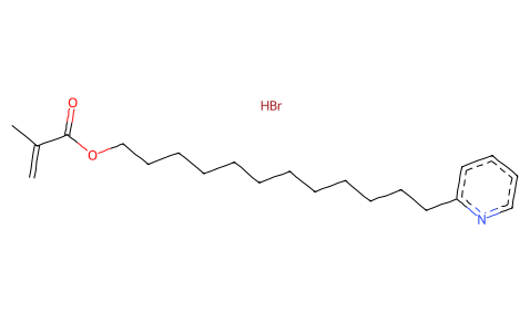 Br.C=C(C)C(=O)OCCCCCCCCCCCCc1ccccn1